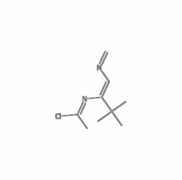 C=N/C=C(\N=C(/C)Cl)C(C)(C)C